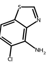 Nc1c(Cl)ccc2scnc12